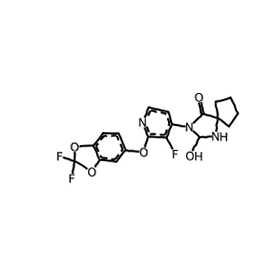 O=C1N(c2ccnc(Oc3ccc4c(c3)OC(F)(F)O4)c2F)C(O)NC12CCCC2